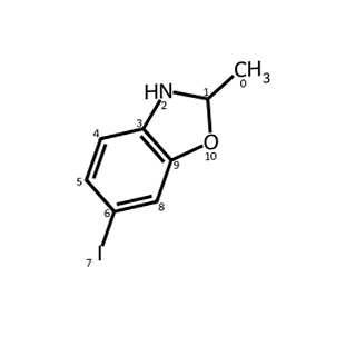 CC1Nc2ccc(I)cc2O1